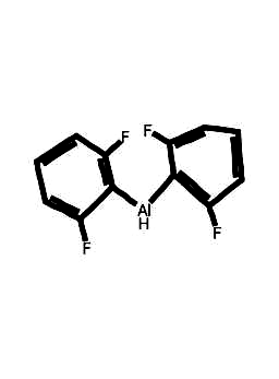 Fc1cccc(F)[c]1[AlH][c]1c(F)cccc1F